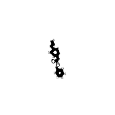 C=CCC1CCC(CC(=O)OCc2ccccc2)CC1